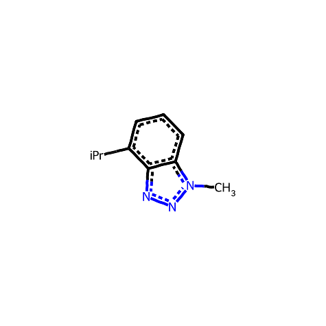 CC(C)c1cccc2c1nnn2C